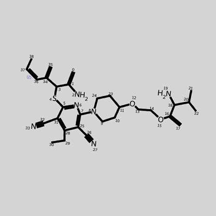 C=C(N)C(Sc1nc(N2CCC(OCCOC(=C)C(N)C(C)C)CC2)c(C#N)c(CC)c1C#N)C(=C)/C=C\C